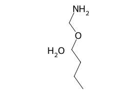 CCCCOCN.O